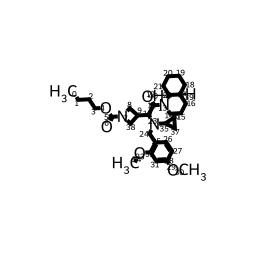 CCCCOC(=O)N1CC(C(C(=O)N2CCC[C@H]3CCCC[C@@H]32)N(Cc2ccc(OC)cc2OC)C2CC2)C1